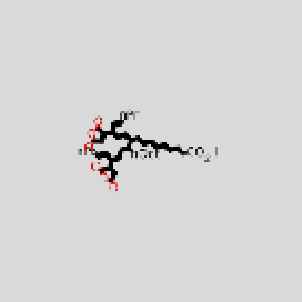 CCC/C=C/C(CCC(CCCCCCCC)C(CCCCCCCCC(=O)O)CCC(/C=C/CCC)C1CC(=O)OC1=O)C1CC(=O)OC1=O